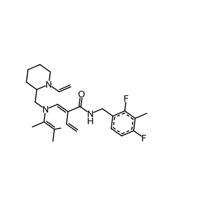 C=C/C(=C\N(CC1CCCCN1C=C)C(C)=C(C)C)C(=O)NCc1ccc(F)c(C)c1F